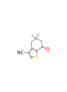 CC1(C)CC(=O)c2s[c]c(C#N)c2C1